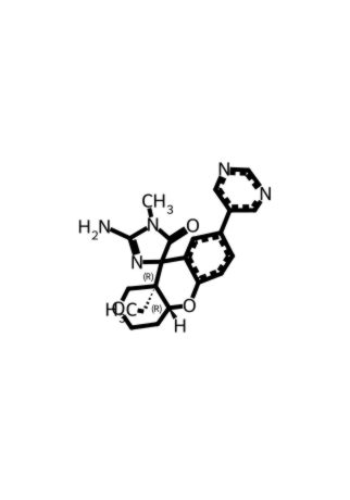 CC[C@@]12COCC[C@H]1Oc1ccc(-c3cncnc3)cc1C21N=C(N)N(C)C1=O